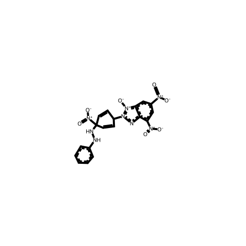 O=[N+]([O-])c1cc([N+](=O)[O-])c2nn(C3C=CC(NNc4ccccc4)([N+](=O)[O-])C=C3)[n+]([O-])c2c1